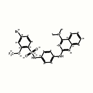 CN(C)c1nc(Nc2ccc(NS(=O)(=O)c3ccc(Br)cc3OC(F)(F)F)cc2)nc2ccccc12